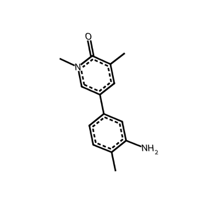 Cc1ccc(-c2cc(C)c(=O)n(C)c2)cc1N